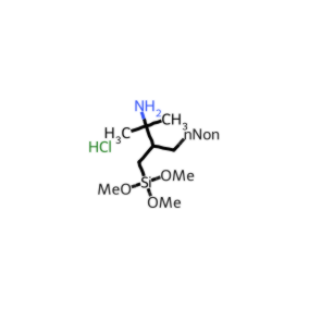 CCCCCCCCCCC(C[Si](OC)(OC)OC)C(C)(C)N.Cl